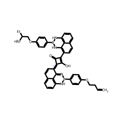 C=CCCOc1ccc(B2N=c3/c(=C4/C(=O)C(c5ccc6cccc7c6c5NB(c5ccc(OCC(CC)CCCC)cc5)N7)=C4O)ccc4cccc(c34)N2)cc1